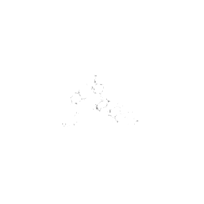 COCCOc1cccc(Cn2cc(-c3nc(-c4ccc(C5(O)CCOCC5)cc4)no3)ccc2=O)c1